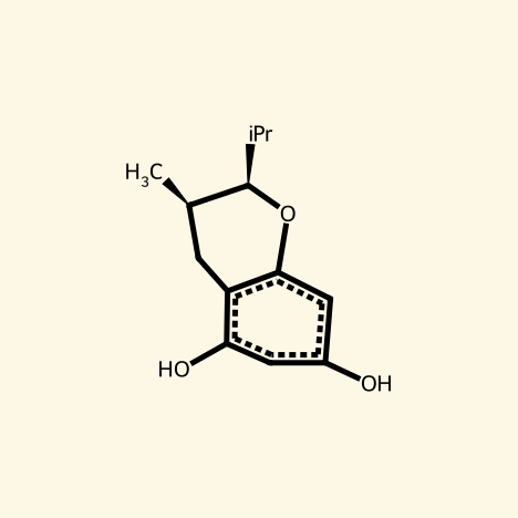 CC(C)[C@H]1Oc2cc(O)cc(O)c2C[C@H]1C